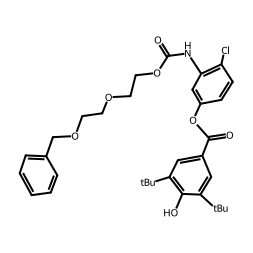 CC(C)(C)c1cc(C(=O)Oc2ccc(Cl)c(NC(=O)OCCOCCOCc3ccccc3)c2)cc(C(C)(C)C)c1O